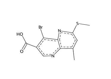 CSc1cc(C)c2ncc(C(=O)O)c(Br)c2n1